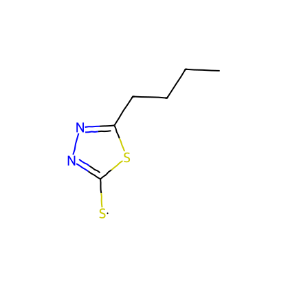 CCCCc1nnc([S])s1